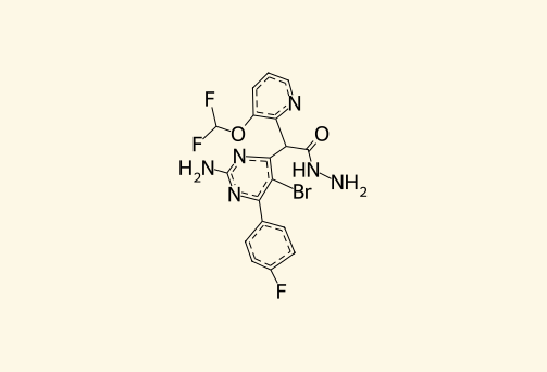 NNC(=O)C(c1ncccc1OC(F)F)c1nc(N)nc(-c2ccc(F)cc2)c1Br